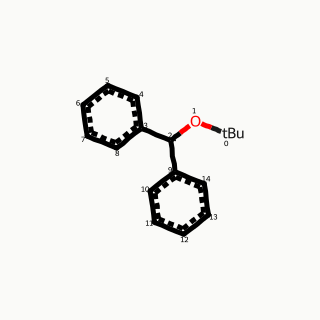 CC(C)(C)O[C](c1ccccc1)c1ccccc1